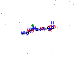 Cn1c(=O)n(C2CCC(=O)NC2=O)c2cccc(CCCN3CCO[C@@H](CNC[C@H]4CC[C@H](n5cc(NC(=O)c6coc(-c7ccnc(NCC8CC8)c7)n6)c(C(F)F)n5)CC4)C3)c21